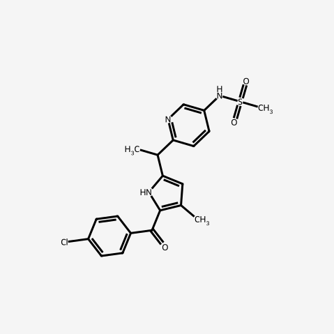 Cc1cc(C(C)c2ccc(NS(C)(=O)=O)cn2)[nH]c1C(=O)c1ccc(Cl)cc1